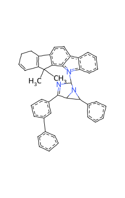 CC1(C)C2=C(CCC=C2)c2ccc3c4ccccc4n(C4N=C(c5cccc(-c6ccccc6)c5)C5C(c6ccccc6)N54)c3c21